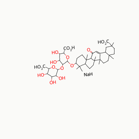 CC1(C(=O)O)CCC2(C)CCC3(C)C(=CC(=O)C4C5(C)CCC(OC6OC(C(=O)O)C(O)C(O)C6OC6OC(C(=O)O)C(O)C(O)C6O)C(C)(C)C5CCC43C)C2C1.[NaH]